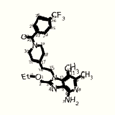 CCOCc1nc2c(N)nc(C)c(C)c2n1CCC1CCN(C(=O)c2ccc(C(F)(F)F)cc2)CC1